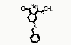 COc1nnc(Cl)c2ccc(SCc3ccccc3)cc12